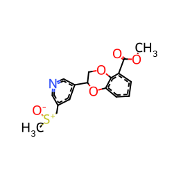 COC(=O)c1cccc2c1OCC(c1cncc(C[S+](C)[O-])c1)O2